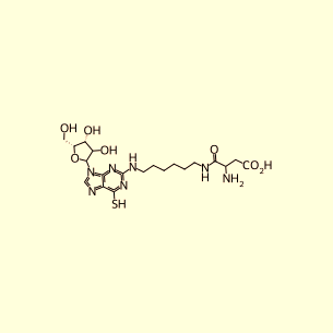 NC(CC(=O)O)C(=O)NCCCCCCNc1nc(S)c2ncn(C3O[C@H](CO)[C@H](O)C3O)c2n1